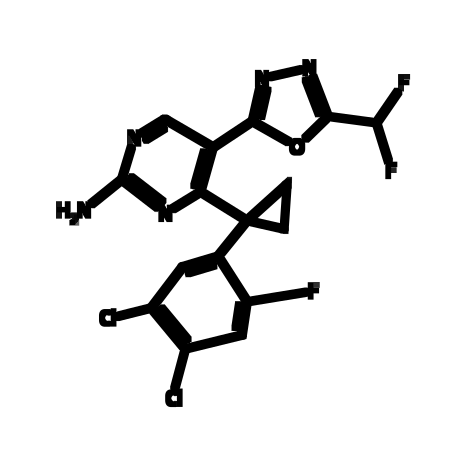 Nc1ncc(-c2nnc(C(F)F)o2)c(C2(c3cc(Cl)c(Cl)cc3F)CC2)n1